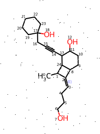 CC1/C(=C\CCCO)C2CCC(O)C(C#CCC3(O)CCCCC3)C12